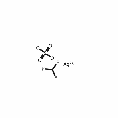 FC(F)F.O=S(=O)([O-])[O-].[Ag+2]